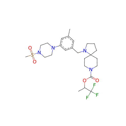 Cc1cc(CN2CCCC23CCN(C(=O)OC(C)C(F)(F)F)CC3)cc(N2CCN(S(C)(=O)=O)CC2)c1